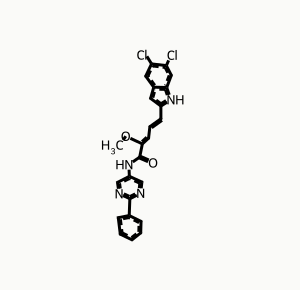 COC(=CC=Cc1cc2cc(Cl)c(Cl)cc2[nH]1)C(=O)Nc1cnc(-c2ccccc2)nc1